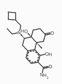 CCN(CC1CCC1)[C@@H]1Cc2ccc(C(N)=O)c(O)c2[C@@]2(C)CC(=O)CC[C@@]12O